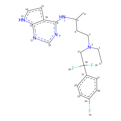 CCN(CCC(C)Nc1ncnc2[nH]ccc12)CC(F)(F)c1ccc(F)cc1